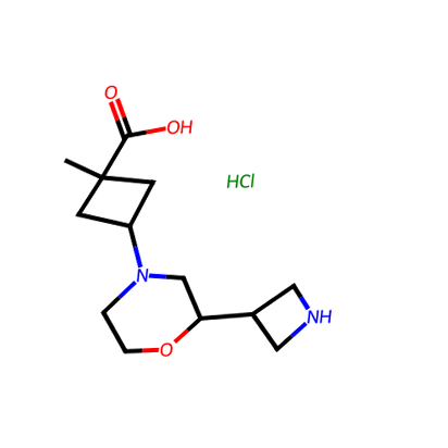 CC1(C(=O)O)CC(N2CCOC(C3CNC3)C2)C1.Cl